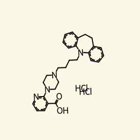 Cl.Cl.O=C(O)c1cccnc1N1CCN(CCCCN2c3ccccc3CCc3ccccc32)CC1